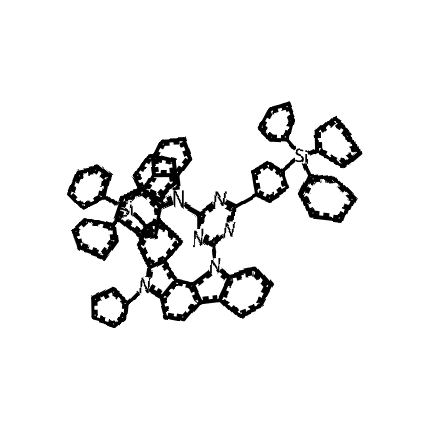 c1ccc(-n2c3cc([Si](c4ccccc4)(c4ccccc4)c4ccccc4)ccc3c3c2ccc2c4ccccc4n(-c4nc(-c5ccc([Si](c6ccccc6)(c6ccccc6)c6ccccc6)cc5)nc(-n5c6ccccc6c6ccccc65)n4)c23)cc1